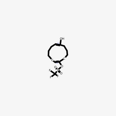 O=S(=O)(O/C1=C/CCCC/C=C(/O)CCCC1)C(F)(F)F